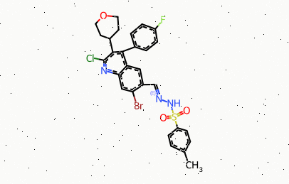 Cc1ccc(S(=O)(=O)N/N=C/c2cc3c(-c4ccc(F)cc4)c(C4CCOCC4)c(Cl)nc3cc2Br)cc1